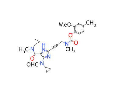 COc1cc(C)ccc1OC(=O)N(C)CC#Cc1nc(N(C=O)C2CC2)c(C(=O)N(C)C2CC2)[nH]1